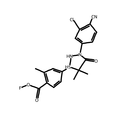 Cc1cc([SH]2NN(c3ccc(C#N)c(Cl)c3)C(=O)C2(C)C)ccc1C(=O)OF